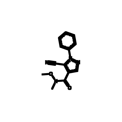 CON(C)C(=O)c1cnn(-c2ccccc2)c1C#N